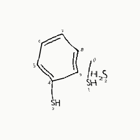 CS.S.Sc1ccccc1